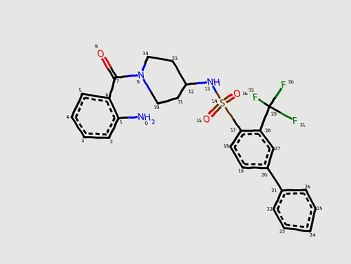 Nc1ccccc1C(=O)N1CCC(NS(=O)(=O)c2ccc(-c3ccccc3)cc2C(F)(F)F)CC1